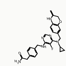 C=C1COc2cc(CN(c3ncnc(NCc4ccc(CC(N)=O)cc4)c3F)C3CC3)ccc2N1